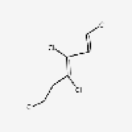 ClC=CC(Cl)=C(Cl)CCCl